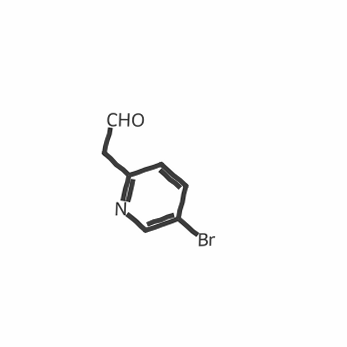 O=CCc1ccc(Br)cn1